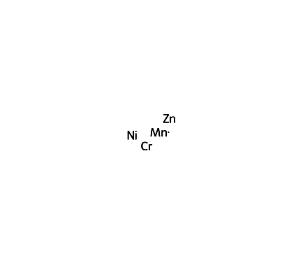 [Cr].[Mn].[Ni].[Zn]